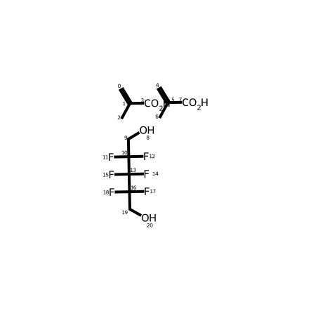 C=C(C)C(=O)O.C=C(C)C(=O)O.OCC(F)(F)C(F)(F)C(F)(F)CO